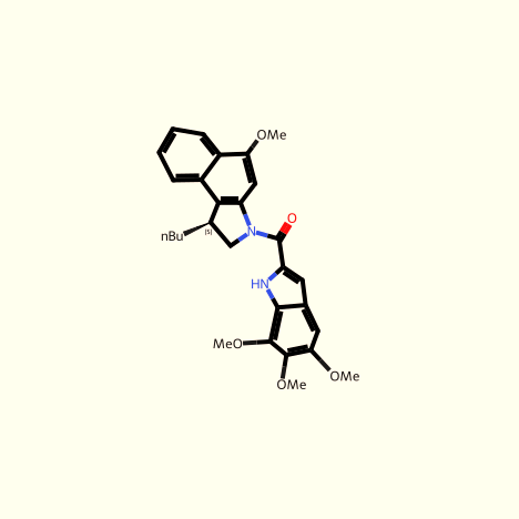 CCCC[C@@H]1CN(C(=O)c2cc3cc(OC)c(OC)c(OC)c3[nH]2)c2cc(OC)c3ccccc3c21